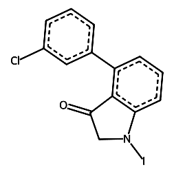 O=C1CN(I)c2cccc(-c3cccc(Cl)c3)c21